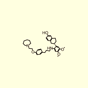 COc1cc(NCCCc2ccc(OCCN3CCCCCC3)cc2)c([C@@H]2CCc3cc(O)ccc3C2)cc1OC